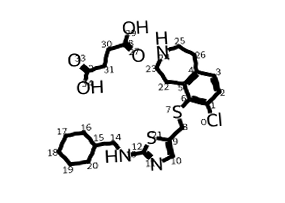 Clc1ccc2c(c1SCc1cnc(NCC3CCCCC3)s1)CCNCC2.O=C(O)CCC(=O)O